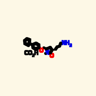 CN1C(=O)[C@H](CCCCN)C[C@H]1COc1ccc(-c2ccccc2)cc1C(=O)O